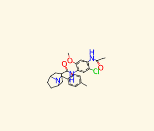 COc1cc(NC(C)=O)c(Cl)cc1NC(=O)C1CC2CCC(C1)N2Cc1ccc(C)cc1